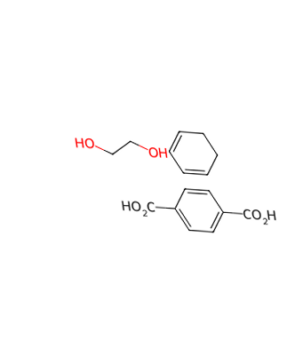 C1=CCCC=C1.O=C(O)c1ccc(C(=O)O)cc1.OCCO